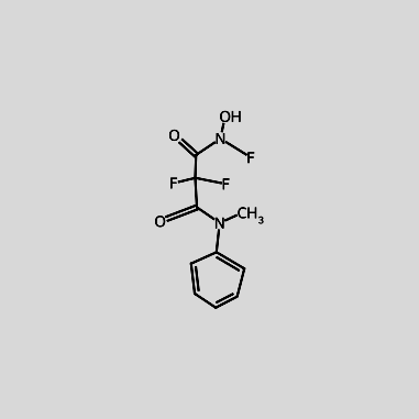 CN(C(=O)C(F)(F)C(=O)N(O)F)c1ccccc1